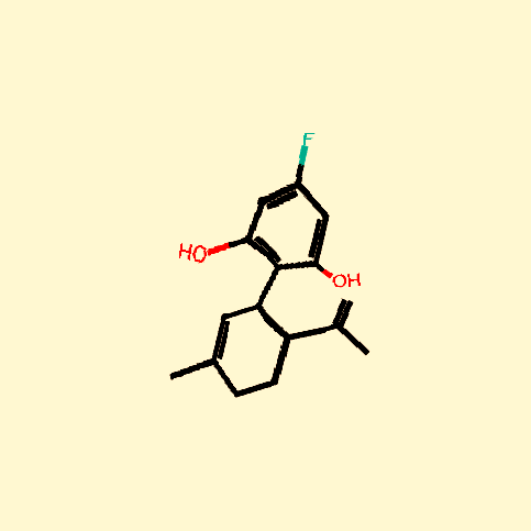 C=C(C)C1CCC(C)=CC1c1c(O)cc(F)cc1O